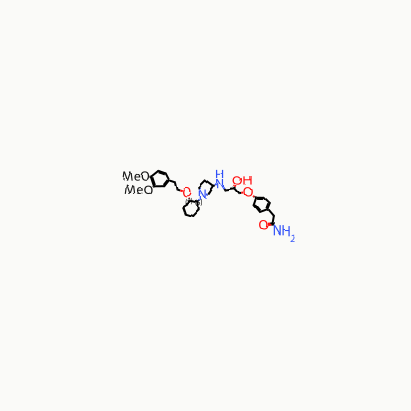 COc1ccc(CCO[C@H]2CCCC[C@@H]2N2CCC(NCC(O)COc3ccc(CC(N)=O)cc3)C2)cc1OC